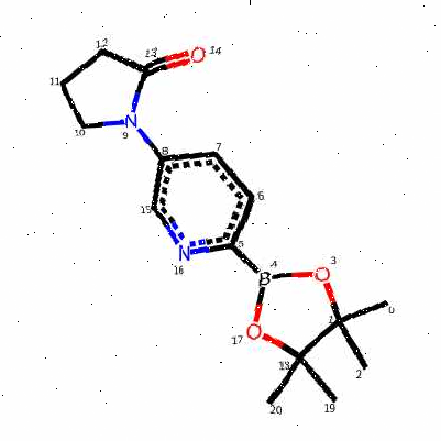 CC1(C)OB(c2ccc(N3CCCC3=O)cn2)OC1(C)C